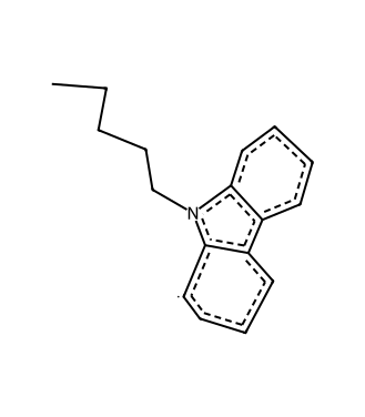 CCCCCn1c2[c]cccc2c2ccccc21